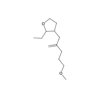 C=C(CCCOC)CC1CCOC1CC